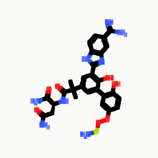 CC(C)(C(=O)N[C@@H](CC(N)=O)C(N)=O)c1cc(-c2nc3cc(C(=N)N)ccc3[nH]2)c(O)c(-c2cc(OOSN)ccc2O)c1